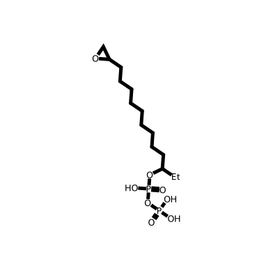 CCC(CCCCCCCCCC1CO1)OP(=O)(O)OP(=O)(O)O